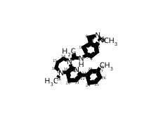 C=C(Nc1ccc2c(cnn2C)c1)N1CCCN(C)c2ccc(-c3cccc(C)c3)nc21